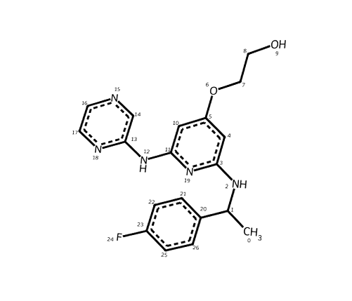 CC(Nc1cc(OCCO)cc(Nc2cnccn2)n1)c1ccc(F)cc1